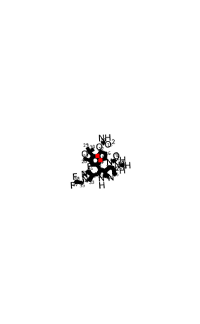 [2H]C([2H])([2H])n1c(=O)n([C@@H]2CC[C@@H](OC(N)=O)C2)c2c3c(-c4ccc5c(c4)COC5(C)C)c(-c4cn(CC(F)F)nc4F)[nH]c3ncc21